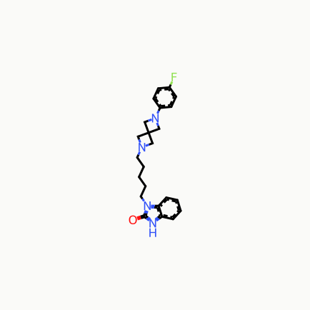 O=c1[nH]c2ccccc2n1CCCCCN1CC2(C1)CN(c1ccc(F)cc1)C2